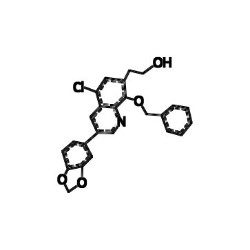 OCCc1cc(Cl)c2cc(-c3ccc4c(c3)OCO4)cnc2c1OCc1ccccc1